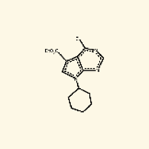 CCOC(=O)c1cn(C2CCCCC2)c2ncnc(Cl)c12